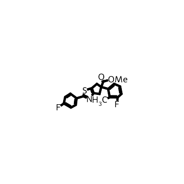 COC(=O)C1(c2cccc(F)c2C)Cc2nc(-c3ccc(F)cc3)sc2C1